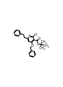 CC(C)(C)OC(=O)c1c(OCc2ccccc2)cc(CCc2ccccc2)nc1Cl